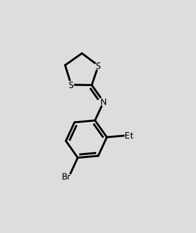 CCc1cc(Br)ccc1N=C1SCCS1